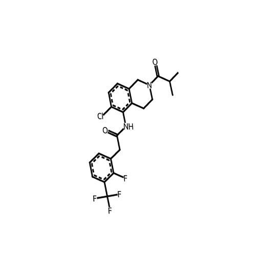 CC(C)C(=O)N1CCc2c(ccc(Cl)c2NC(=O)Cc2cccc(C(F)(F)F)c2F)C1